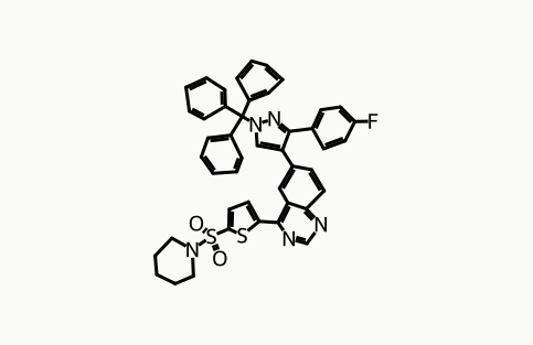 O=S(=O)(c1ccc(-c2ncnc3ccc(-c4cn(C(c5ccccc5)(c5ccccc5)c5ccccc5)nc4-c4ccc(F)cc4)cc23)s1)N1CCCCC1